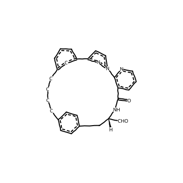 O=C[C@@H]1Cc2ccc(cc2)CCCCc2cccc(c2)-c2ccn(n2)-c2ncccc2C(=O)N1